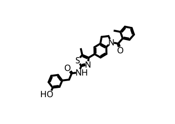 Cc1ccccc1C(=O)N1CCc2cc(-c3nc(NC(=O)Cc4cccc(O)c4)sc3C)ccc21